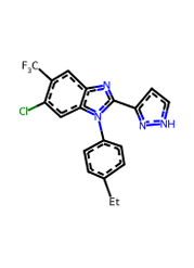 CCc1ccc(-n2c(-c3cc[nH]n3)nc3cc(C(F)(F)F)c(Cl)cc32)cc1